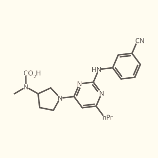 CCCc1cc(N2CCC(N(C)C(=O)O)C2)nc(Nc2cccc(C#N)c2)n1